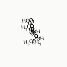 CC(C)=CCc1cc(C(=O)Nc2cc3ccc(O[C@@H]4OCCC[C@H]4O)c(C)c3oc2=O)ccc1O